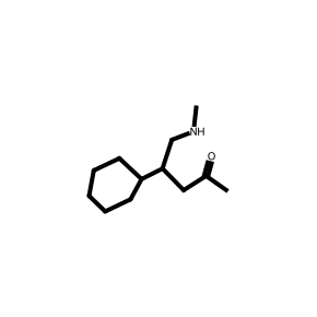 CNCC(CC(C)=O)C1CCCCC1